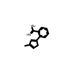 CC1=CCC(c2ccccc2C(=N)C(C)(C)C)=C1